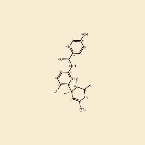 CC1OC(N)=N[C@@](C)(c2nc(NC(=O)c3ccc(C#N)cn3)ccc2F)[C@@H]1C